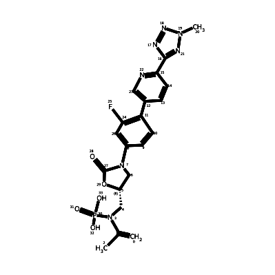 C=C(C)N(C[C@H]1CN(c2ccc(-c3ccc(-c4nnn(C)n4)nc3)c(F)c2)C(=O)O1)P(=O)(O)O